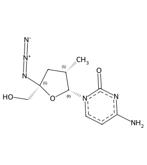 C[C@H]1C[C@](CO)(N=[N+]=[N-])O[C@H]1n1ccc(N)nc1=O